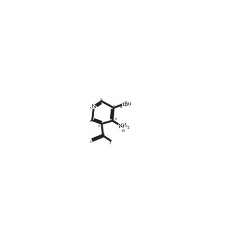 C=C(C)c1cncc(C(C)(C)C)c1N